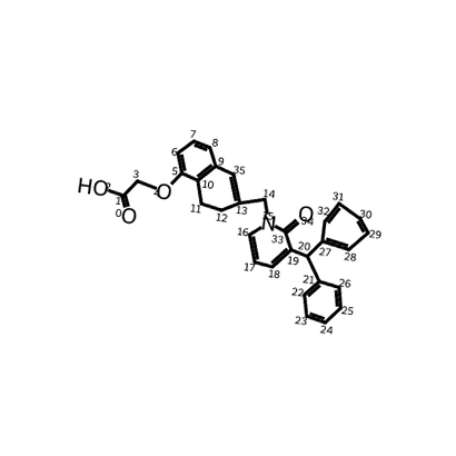 O=C(O)COc1cccc2c1CCC(Cn1cccc(C(c3ccccc3)c3ccccc3)c1=O)=C2